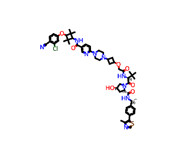 Cc1ncsc1-c1ccc([C@@H](C)NC(=O)[C@@H]2C[C@@H](O)CN2C(=O)[C@@H](NC(=O)COC2CC(N3CCN(c4ccc(C(=O)NC5C(C)(C)C(Oc6ccc(C#N)c(Cl)c6)C5(C)C)cn4)CC3)C2)C(C)(C)C)cc1